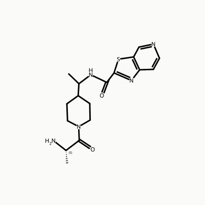 CC(NC(=O)c1nc2ccncc2s1)C1CCN(C(=O)[C@H](C)N)CC1